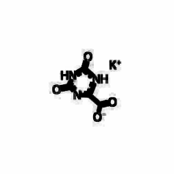 O=C([O-])c1nc(=O)[nH]c(=O)[nH]1.[K+]